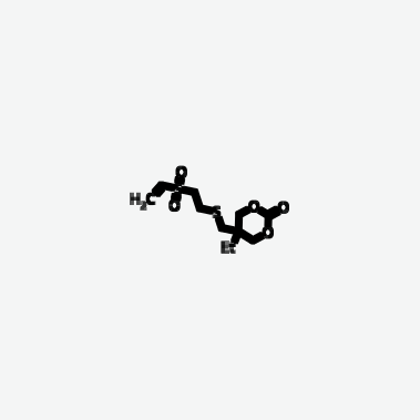 C=CS(=O)(=O)CCSCC1(CC)COC(=O)OC1